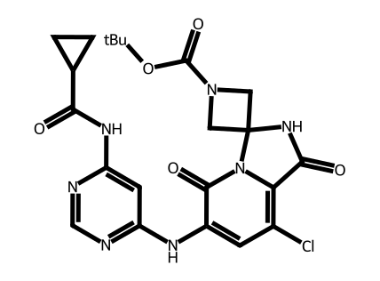 CC(C)(C)OC(=O)N1CC2(C1)NC(=O)c1c(Cl)cc(Nc3cc(NC(=O)C4CC4)ncn3)c(=O)n12